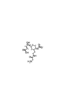 NCC(=O)NCCC1CCCCC1O[N+](=O)[O-].O=C(O)C=CC(=O)O